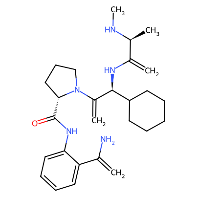 C=C(N)c1ccccc1NC(=O)[C@@H]1CCCN1C(=C)[C@@H](NC(=C)[C@H](C)NC)C1CCCCC1